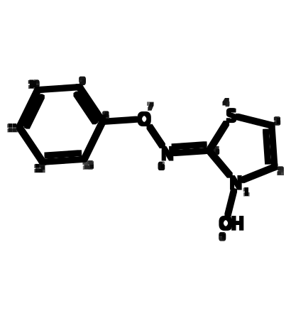 On1ccs/c1=N\Oc1ccccc1